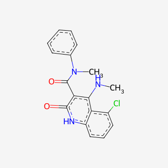 CNc1c(C(=O)N(C)c2ccccc2)c(=O)[nH]c2cccc(Cl)c12